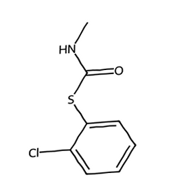 CNC(=O)Sc1ccccc1Cl